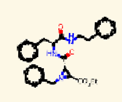 CCOC(=O)[C@@H]1[C@@H](C(=O)N[C@@H](Cc2ccccc2)C(=O)NCCc2ccccc2)N1Cc1ccccc1